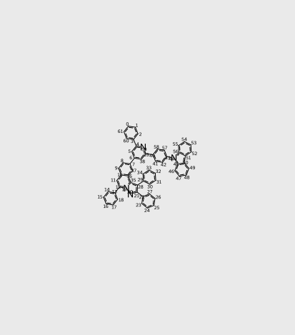 c1ccc(-c2cc(-c3ccc4cc(-c5ccccc5)n5nc(-c6ccccc6)c(-c6ccccc6)c5c4c3)cc(-c3ccc(-n4c5ccccc5c5ccccc54)cc3)n2)cc1